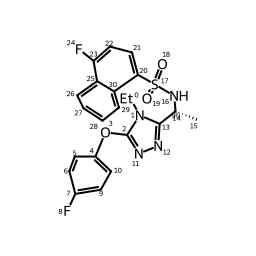 CCn1c(Oc2ccc(F)cc2)nnc1[C@@H](C)NS(=O)(=O)c1ccc(F)c2ccccc12